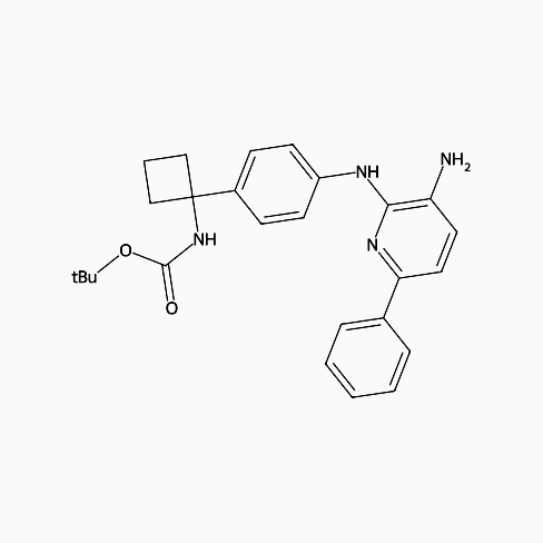 CC(C)(C)OC(=O)NC1(c2ccc(Nc3nc(-c4ccccc4)ccc3N)cc2)CCC1